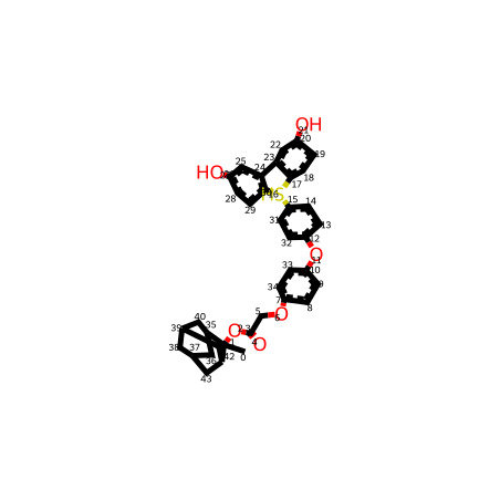 CC1(OC(=O)COc2ccc(Oc3ccc([SH]4c5ccc(O)cc5-c5cc(O)ccc54)cc3)cc2)C2CC3CC(C2)CC1C3